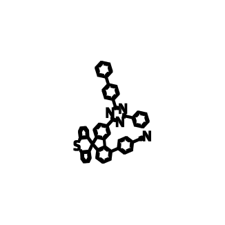 N#Cc1ccc(-c2cccc3c2-c2cc(-c4nc(-c5ccccc5)nc(-c5ccc(-c6ccccc6)cc5)n4)ccc2C32c3ccccc3Sc3ccccc32)cc1